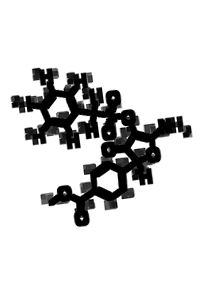 [2H]c1c([2H])c([2H])c(C([2H])([2H])S(=O)(=O)OC2=C(N)O[C@]([2H])(c3ccc(C(=O)OC)cc3)C2=O)c([2H])c1[2H]